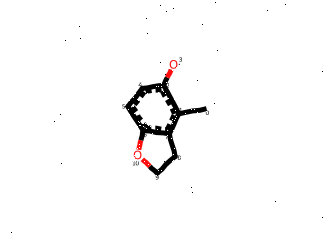 Cc1c([O])ccc2c1CCO2